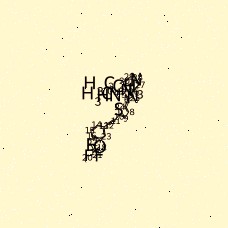 CC(C)(C)Nc1c(-c2ccc(C#Cc3cccc(OC(F)(F)F)c3)s2)nc2cnccn12